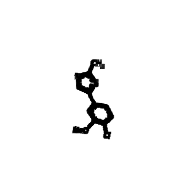 COc1cc(-c2cnc(C)s2)ccc1Cl